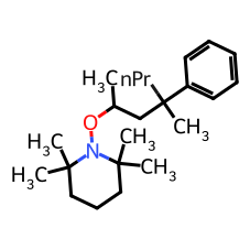 CCCC(C)(CC(C)ON1C(C)(C)CCCC1(C)C)c1ccccc1